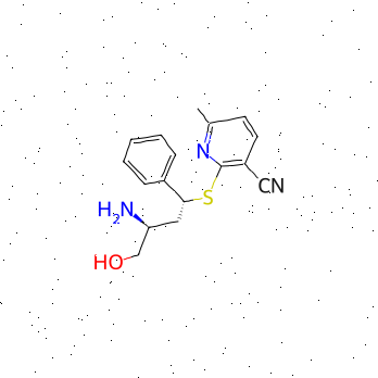 Cc1ccc(C#N)c(S[C@H](C[C@H](N)CO)c2ccccc2)n1